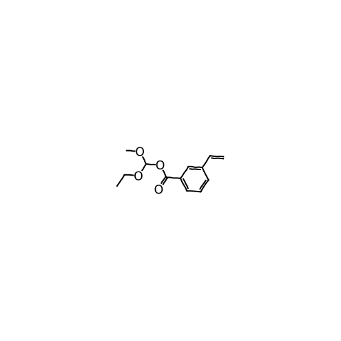 C=Cc1cccc(C(=O)OC(OC)OCC)c1